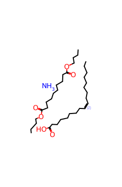 CCCCCCCC/C=C\CCCCCCCC(=O)O.CCCCOC(=O)CCCCCCCCC(=O)OCCCC.N